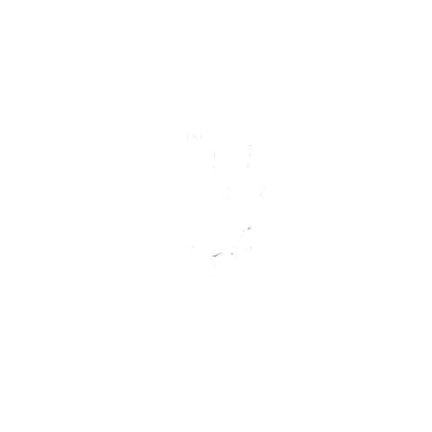 CCOC(=O)[C@@H]1C[C@H]1c1ccc(F)c(CCO)c1